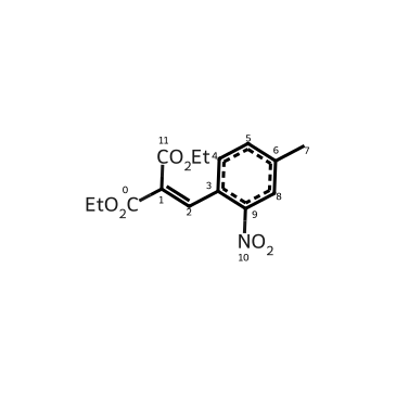 CCOC(=O)C(=Cc1ccc(C)cc1[N+](=O)[O-])C(=O)OCC